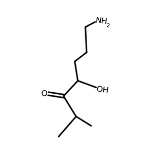 CC(C)C(=O)C(O)CCCN